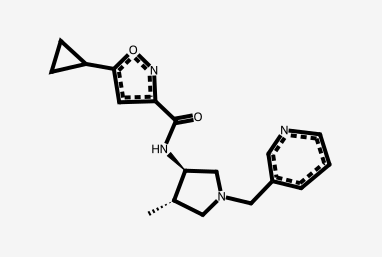 C[C@H]1CN(Cc2cccnc2)C[C@@H]1NC(=O)c1cc(C2CC2)on1